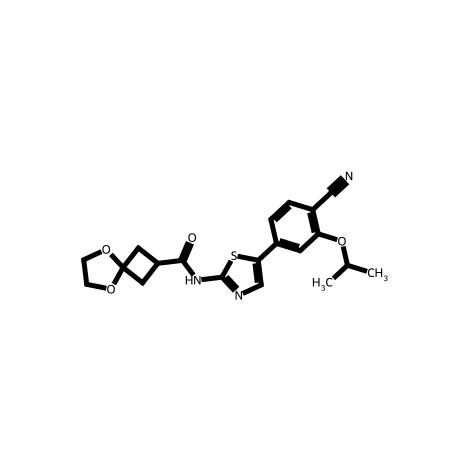 CC(C)Oc1cc(-c2cnc(NC(=O)C3CC4(C3)OCCO4)s2)ccc1C#N